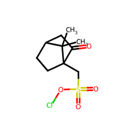 CC1(C)C2CCC1(CS(=O)(=O)OCl)C(=O)C2